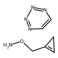 NOCC1=CC1.c1cnnnn1